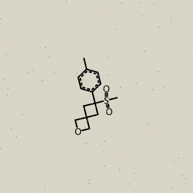 Cc1ccc(C2(S(C)(=O)=O)CC3(COC3)C2)cc1